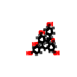 Oc1ccc([C@@H]2Cc3cc(O)cc4c3[C@H](c3cc(O)cc(O)c32)[C@@H](c2ccc(O)cc2)O4)cc1